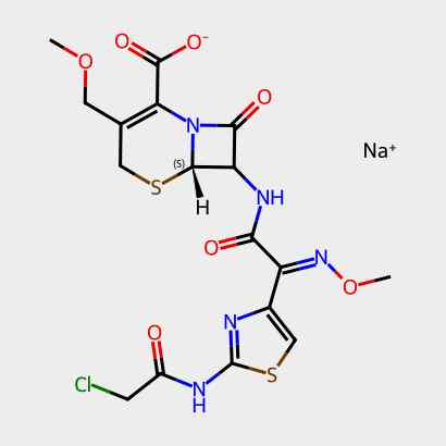 COCC1=C(C(=O)[O-])N2C(=O)C(NC(=O)C(=NOC)c3csc(NC(=O)CCl)n3)[C@@H]2SC1.[Na+]